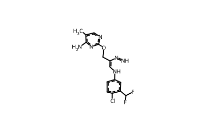 Cc1cnc(OC/C(=C/Nc2ccc(Cl)c(C(F)F)c2)N=N)nc1N